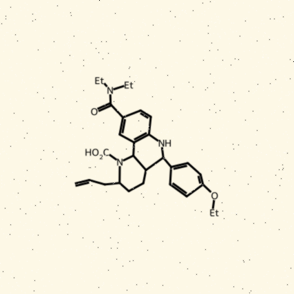 C=CCC1CCC2C(c3ccc(OCC)cc3)Nc3ccc(C(=O)N(CC)CC)cc3C2N1C(=O)O